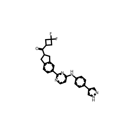 O=C(C1Cc2ccc(-c3nccc(Nc4ccc(-c5cn[nH]c5)cc4)n3)cc2C1)C1CC(F)(F)C1